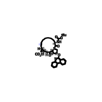 CCOC(=O)[C@@]12C[C@H]1/C=C\CCCCC[C@H](NC(=O)OC(C)(C)C)C(=O)N1C[C@H](Oc3nc4ccccc4c4ccccc34)C[C@H]1C(=O)N2